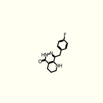 O=c1[nH]nc(Cc2ccc(F)cc2)c2c1CCCN2